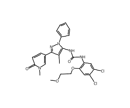 COCCOc1cc(Cl)c(Cl)cc1NC(=O)Nc1c(C)c(-c2ccc(=O)n(C)c2)nn1-c1ccccc1